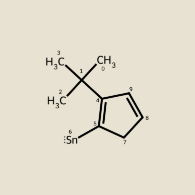 CC(C)(C)C1=[C]([Sn])CC=C1